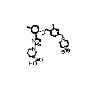 Cc1ccc(OCc2ccc(CN3CCS(=O)(=O)CC3)cc2C)c(-c2csc(N3CCC[C@@H](C(=O)O)C3)n2)c1